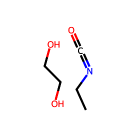 CCN=C=O.OCCO